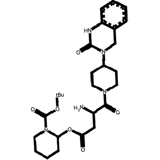 CC(C)(C)OC(=O)N1CCCCC1OC(=O)CC(N)C(=O)N1CCC(N2Cc3ccccc3NC2=O)CC1